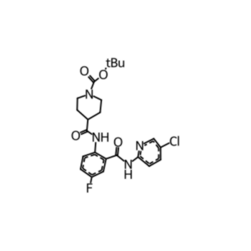 CC(C)(C)OC(=O)N1CCC(C(=O)Nc2ccc(F)cc2C(=O)Nc2ccc(Cl)cn2)CC1